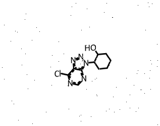 OC1CCCCC1n1nnc2c(Cl)ncnc21